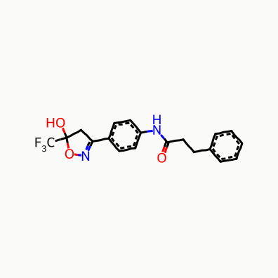 O=C(CCc1ccccc1)Nc1ccc(C2=NOC(O)(C(F)(F)F)C2)cc1